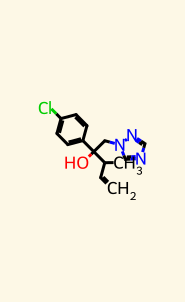 C=CC(C)C(O)(Cn1cncn1)c1ccc(Cl)cc1